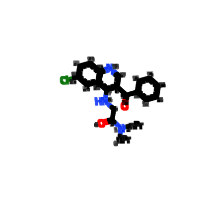 CCCN(CCC)C(=O)CNc1c(C(=O)c2ccccc2)cnc2ccc(Cl)cc12